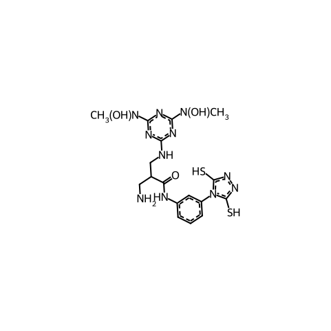 CN(O)c1nc(NCC(CN)C(=O)Nc2cccc(-n3c(S)nnc3S)c2)nc(N(C)O)n1